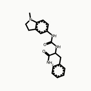 CN1CCc2cc(NC(=O)NC(Cc3ccccc3)C(N)=O)ccc21